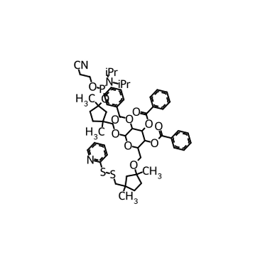 CC(C)N(C(C)C)P(OCCC#N)OC1(C)CCC(C)(COC2OC(COC3(C)CCC(C)(CSSc4ccccn4)C3)C(OC(=O)c3ccccc3)C(OC(=O)c3ccccc3)C2OC(=O)c2ccccc2)C1